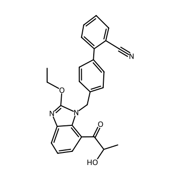 CCOc1nc2cccc(C(=O)C(C)O)c2n1Cc1ccc(-c2ccccc2C#N)cc1